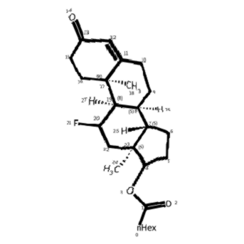 CCCCCCC(=O)OC1CC[C@H]2[C@@H]3CCC4=CC(=O)CC[C@]4(C)[C@@H]3C(F)C[C@]12C